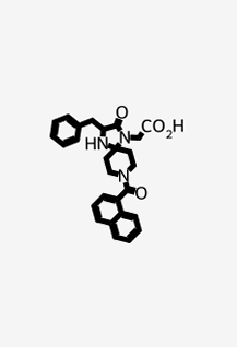 O=C(O)CN1C(=O)C(Cc2ccccc2)NC12CCN(C(=O)c1cccc3ccccc13)CC2